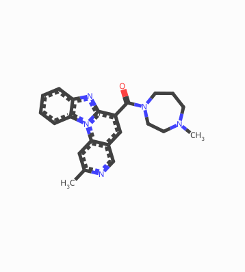 Cc1cc2c(cn1)cc(C(=O)N1CCCN(C)CC1)c1nc3ccccc3n12